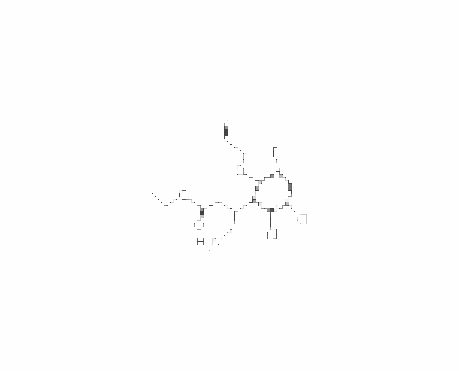 C=CCOc1c(F)cc(Cl)c(Cl)c1C(CN)CC(=O)OCC